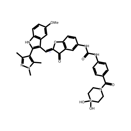 COc1ccc2[nH]c(-c3c(C)nn(C)c3C)c(/C=C3\Oc4ccc(NC(=O)Nc5ccc(C(=O)N6CCS(O)(O)CC6)cc5)cc4C3=O)c2c1